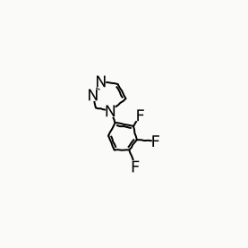 Fc1ccc(N2C=CN=NC2)c(F)c1F